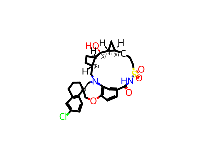 O=C1NS(=O)(=O)CCC[C@@H]2C[C@H]2[C@H](O)[C@@H]2CC[C@H]2CN2C[C@@]3(CCCc4cc(Cl)ccc43)COc3ccc1cc32